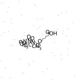 CC(C)N(Cc1ccccc1OCCCCCC(=O)O)C(=O)N1CC(=O)N(c2ccco2)CC1=O